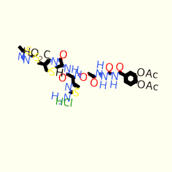 CC(=O)Oc1ccc(C(=O)NC(=O)NNC(=O)CON=C(C(=O)NC2C(=O)N3C(C(=O)O)=C(CSc4nnc(C)s4)CS[C@@H]23)c2csc(N)n2)cc1OC(C)=O.Cl